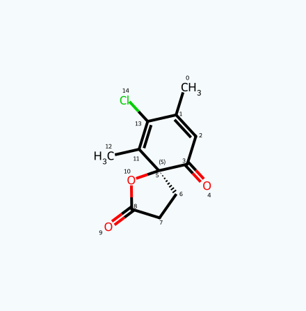 CC1=CC(=O)[C@]2(CCC(=O)O2)C(C)=C1Cl